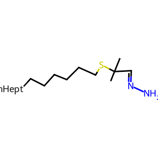 CCCCCCCCCCCCCSC(C)(C)C=NN